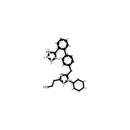 SCCc1nc(Cc2ccc(-c3ccccc3-c3nnn[nH]3)cc2)n(C2CCCCC2)n1